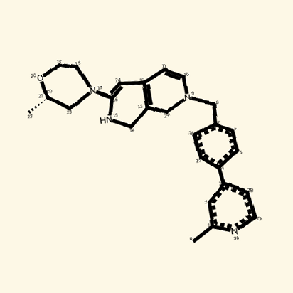 Cc1cc(-c2ccc(CN3C=CC4=C(CNC(N5CCO[C@@H](C)C5)=C4)C3)cc2)ccn1